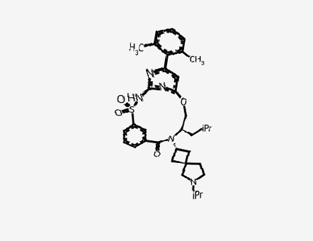 Cc1cccc(C)c1-c1cc2nc(n1)NS(=O)(=O)c1cccc(c1)C(=O)N([C@H]1C[C@]3(CCN(C(C)C)C3)C1)[C@H](CC(C)C)CO2